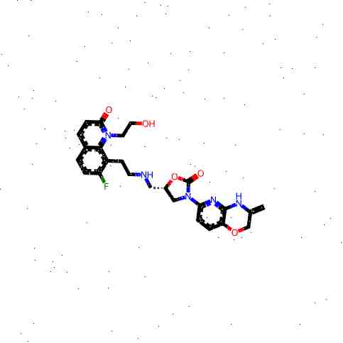 C=C1COc2ccc(N3C[C@H](CNCCc4c(F)ccc5ccc(=O)n(CCO)c45)OC3=O)nc2N1